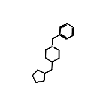 [CH](C1CCCC1)C1CCN(Cc2ccccc2)CC1